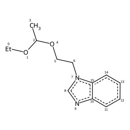 CCOC(C)OCCn1cnc2ccccc21